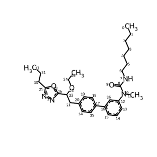 CCCCCCCNC(=O)N(C)c1cccc(-c2ccc(CC(OCC)c3nnc(CCC)o3)cc2)c1